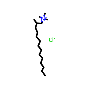 CCCCCCCCCCCCC(C)C[N+](C)(C)C.[Cl-]